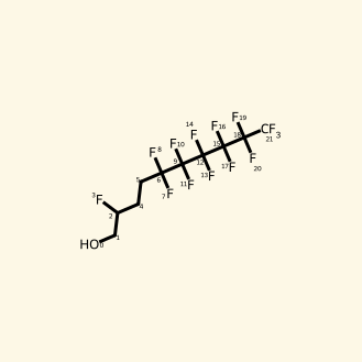 OCC(F)CCC(F)(F)C(F)(F)C(F)(F)C(F)(F)C(F)(F)C(F)(F)F